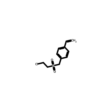 C=Cc1ccc(CS(=O)(=O)CCCl)cc1